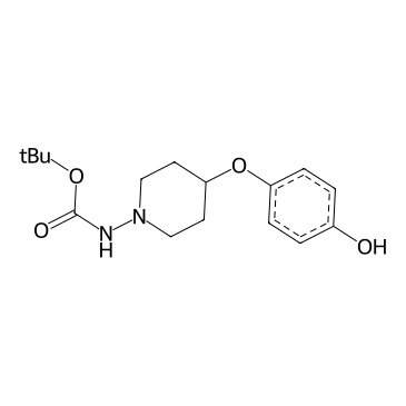 CC(C)(C)OC(=O)NN1CCC(Oc2ccc(O)cc2)CC1